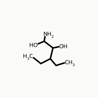 CCC(CC)C(O)C(N)O